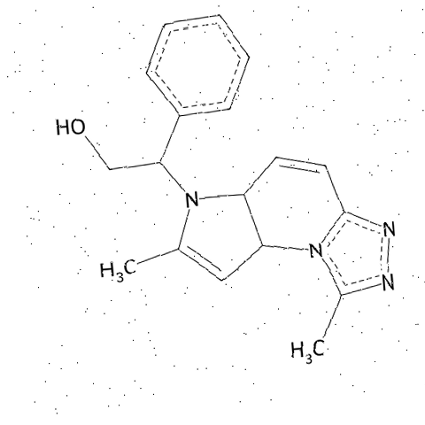 CC1=CC2C(C=Cc3nnc(C)n32)N1C(CO)c1ccccc1